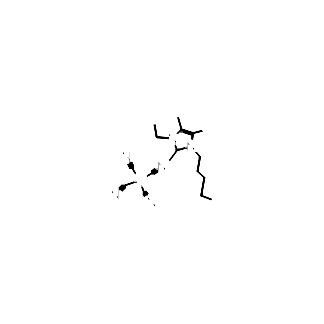 CCCCCN1C(C)=C(C)N(CC)C1C.N#C[B-](C#N)(C#N)C#N